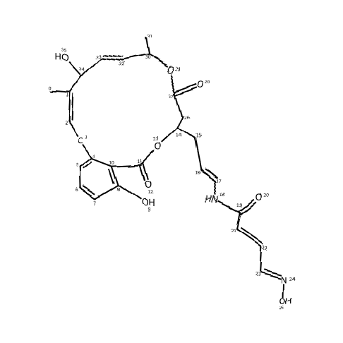 C/C1=C/Cc2cccc(O)c2C(=O)OC(C/C=C/NC(=O)/C=C/C=N/O)CC(=O)OC(C)/C=C/C1O